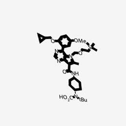 COc1ccc(OCC2CC2)c(-c2ncnc3c(C(=O)N[C@H]4CC[C@@H](N(C(=O)O)C(C)(C)C)CC4)c(C)n(COCC[Si](C)(C)C)c23)c1